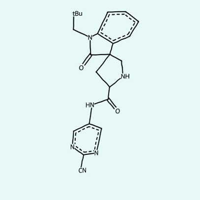 CC(C)(C)CN1C(=O)C2(CNC(C(=O)Nc3cnc(C#N)nc3)C2)c2ccccc21